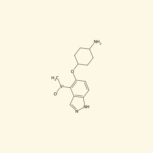 C[S+]([O-])c1c(OC2CCC(N)CC2)ccc2[nH]ncc12